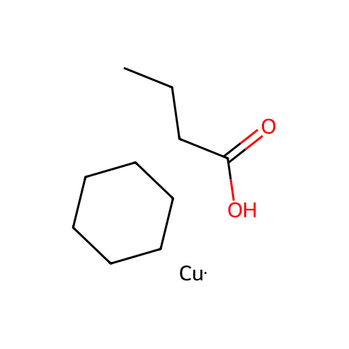 C1CCCCC1.CCCC(=O)O.[Cu]